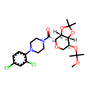 COC(C)(C)O[C@H]1CO[C@H](C(=O)N2CCN(c3ccc(Cl)cc3Cl)CC2)[C@@H]2OC(C)(C)O[C@@H]21